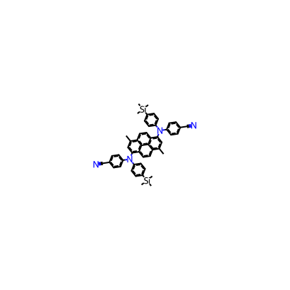 Cc1cc(N(c2ccc(C#N)cc2)c2ccc([Si](C)(C)C)cc2)c2ccc3c(C)cc(N(c4ccc(C#N)cc4)c4ccc([Si](C)(C)C)cc4)c4ccc1c2c34